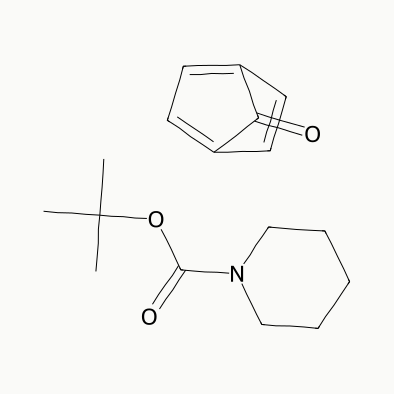 CC(C)(C)OC(=O)N1CCCCC1.O=C1C2=CC=C1C=C2